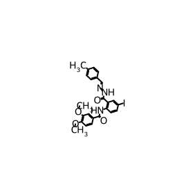 COc1ccc(C(=O)Nc2ccc(I)cc2C(=O)NN=Cc2ccc(C)cc2)cc1OC